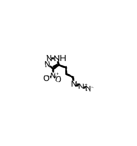 [N-]=[N+]=NCCCc1[nH]nnc1[N+](=O)[O-]